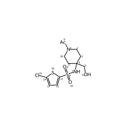 CC(=O)N1CCC(CO)(NS(=O)(=O)c2ccc(Cl)s2)CC1